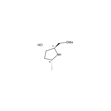 COC[C@@H]1CC[C@@H](C)N1.Cl